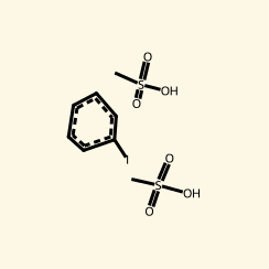 CS(=O)(=O)O.CS(=O)(=O)O.Ic1ccccc1